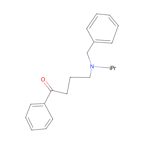 CC(C)N(CCCC(=O)c1ccccc1)Cc1ccccc1